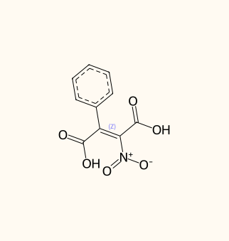 O=C(O)/C(=C(/C(=O)O)[N+](=O)[O-])c1ccccc1